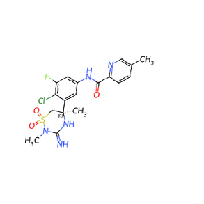 Cc1ccc(C(=O)Nc2cc(F)c(Cl)c([C@]3(C)CS(=O)(=O)N(C)C(=N)N3)c2)nc1